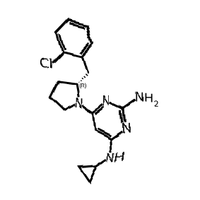 Nc1nc(NC2CC2)cc(N2CCC[C@@H]2Cc2ccccc2Cl)n1